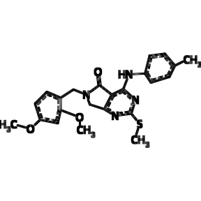 COc1ccc(CN2Cc3nc(SC)nc(Nc4ccc(C)cc4)c3C2=O)c(OC)c1